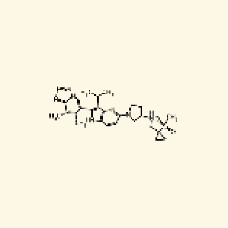 Cc1c(-c2[nH]c3ccc(N4CCC(NCC5(S(C)(=O)=O)CC5)C4)nc3c2C(C)C)cn2ncnc2c1C